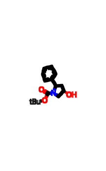 CC(C)(C)OC(=O)N1C[C@H](O)CC1c1ccccc1